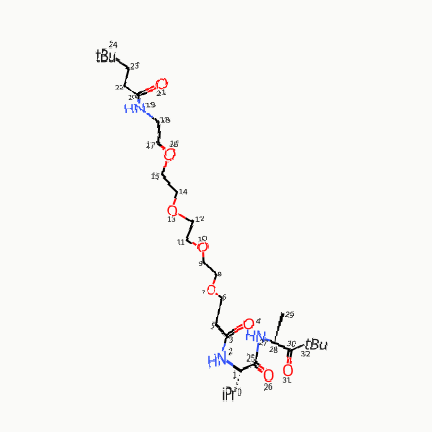 CC(C)[C@H](NC(=O)CCOCCOCCOCCOCCNC(=O)CCC(C)(C)C)C(=O)N[C@@H](C)C(=O)C(C)(C)C